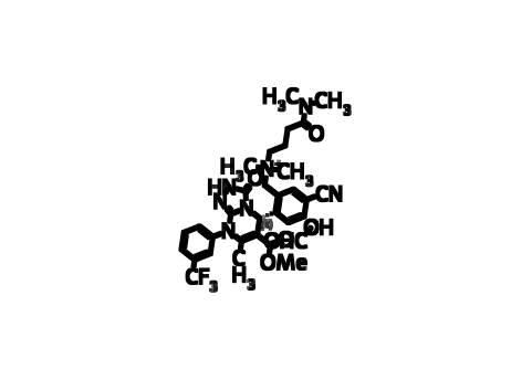 COC(=O)C1=C(C)N(c2cccc(C(F)(F)F)c2)c2n[nH]c(=O)n2[C@@H]1c1ccc(C#N)cc1C[N+](C)(C)CCCC(=O)N(C)C.O=CO